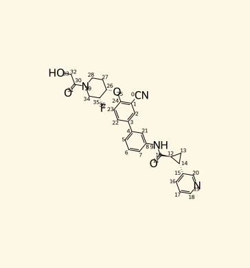 N#Cc1cc(-c2cccc(NC(=O)[C@H]3C[C@@H]3c3cccnc3)c2)ccc1O[C@H]1CCN(C(=O)CO)C[C@H]1F